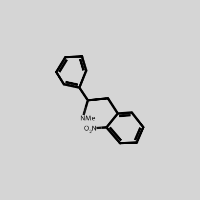 CNC(Cc1ccccc1[N+](=O)[O-])c1ccccc1